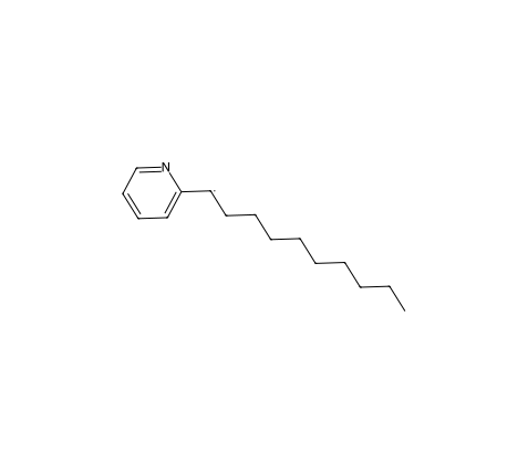 CCCCCCCCC[CH]c1ccccn1